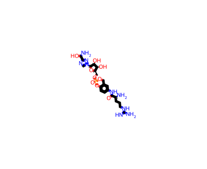 N=C(N)NCCC[C@H](N)C(=O)Nc1ccc2c(c1)COP(=O)(OC[C@H]1O[C@@H](n3cnc(C(N)O)n3)[C@H](O)[C@@H]1O)O2